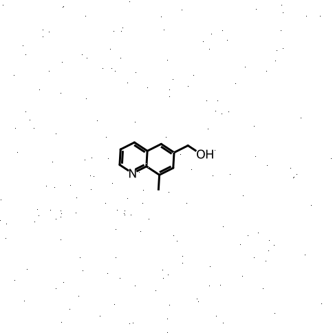 Cc1cc(CO)cc2cccnc12